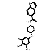 Cc1cc(N[C@H]2CC[C@@H](NC(=O)c3ccc4nccn4c3)CC2)cc(C(F)(F)F)c1C#N